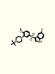 COc1ccc(S(=O)(=O)c2c[nH]c3ccc(F)cc23)cc1N1CCN(C(C)(C)C)CC1